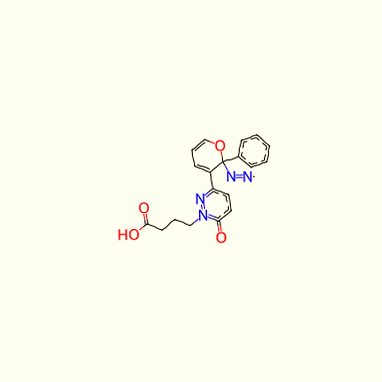 [N]=NC1(c2ccccc2)OC=CC=C1c1ccc(=O)n(CCCC(=O)O)n1